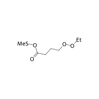 CCOOCCCC(=O)OSC